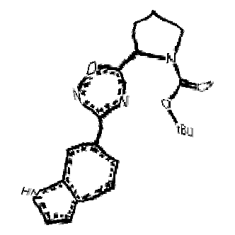 CC(C)(C)OC(=O)N1CCCC1c1nc(-c2ccc3cc[nH]c3c2)no1